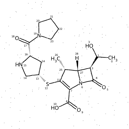 CC(O)[C@H]1C(=O)N2C(C(=O)O)=C(S[C@@H]3CN[C@H](C(=O)N4CCCC4)C3)[C@H](C)[C@H]12